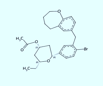 CC[C@@H]1C[C@H](OC(C)=O)C[C@H](c2ccc(Br)c(Cc3ccc4c(c3)CCCCO4)c2)O1